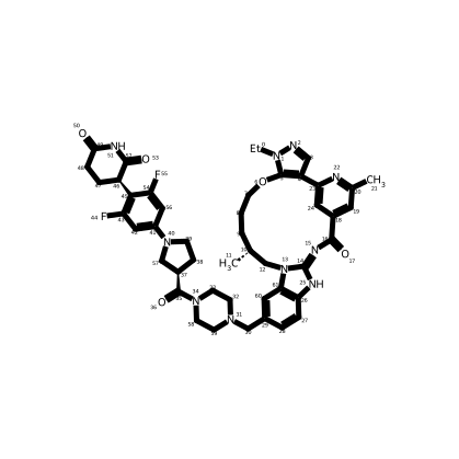 CCn1ncc2c1OCCC[C@@H](C)CN1/C(=N/C(=O)c3cc(C)nc-2c3)Nc2ccc(CN3CCN(C(=O)[C@@H]4CCN(c5cc(F)c([C@H]6CCC(=O)NC6=O)c(F)c5)C4)CC3)cc21